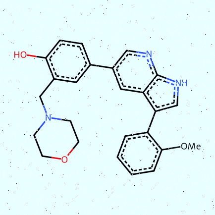 COc1ccccc1-c1c[nH]c2ncc(-c3ccc(O)c(CN4CCOCC4)c3)cc12